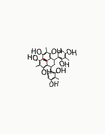 Cc1c(O)ccc(C(CC(c2ccc(O)c(C)c2O)c2ccc(O)c(C)c2O)c2ccc(O)c(C)c2O)c1O